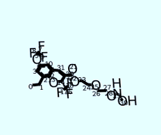 CCc1cc(OC(F)(F)F)cc2c1O[C@H](C(F)(F)F)C(C(=O)OCCOCCONO)=C2